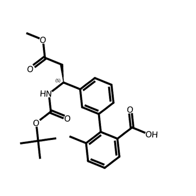 COC(=O)C[C@H](NC(=O)OC(C)(C)C)c1cccc(-c2c(C)cccc2C(=O)O)c1